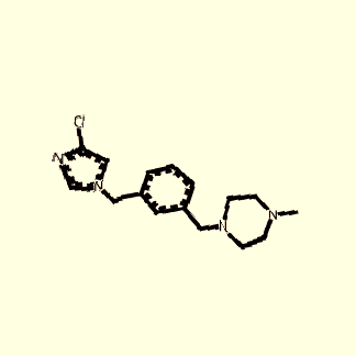 CN1CCN(Cc2cccc(Cn3cnc(Cl)c3)c2)CC1